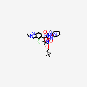 CCn1cc2c(Cl)c(-c3cn(COCC[Si](C)(C)C)c4nc(N5C6CCC5CC(NC(=O)OC(C)(C)C)C6)n(C)c(=O)c34)ccc2n1